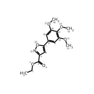 CCOC(=O)c1cc(-c2cc(OC)c(OC)c(OC)c2)on1